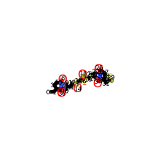 CCC1C=CC(=O)N(C(C)(C)CC[S+]([O-])CC[S+]([O-])CCC(C)(C)N2C(=O)C=C3SCCC3C2=O)C1=O